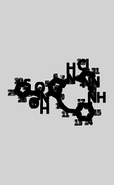 O=S(=O)(Nc1ccc2cc1CCc1cccc(c1)Nc1ncc(Cl)c(n1)N2)c1cccs1